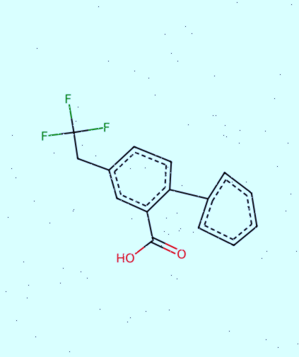 O=C(O)c1cc(CC(F)(F)F)ccc1-c1ccccc1